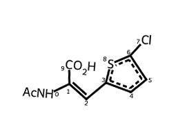 CC(=O)N/C(=C/c1ccc(Cl)s1)C(=O)O